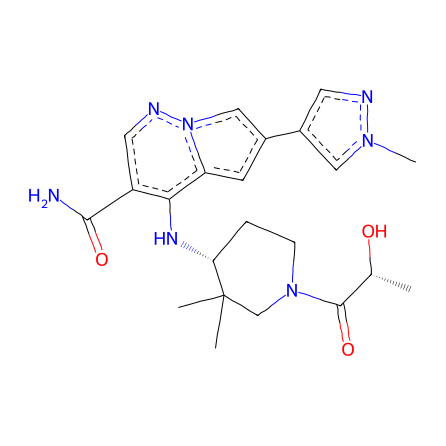 C[C@@H](O)C(=O)N1CC[C@@H](Nc2c(C(N)=O)cnn3cc(-c4cnn(C)c4)cc23)C(C)(C)C1